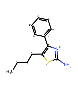 CCCCc1sc(N)nc1-c1ccccc1